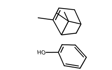 CC1=CCC2CC1C2(C)C.Oc1ccccc1